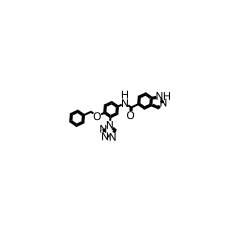 O=C(Nc1ccc(OCc2ccccc2)c(-n2cnnn2)c1)c1ccc2[nH]ncc2c1